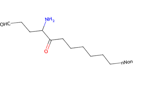 CCCCCCCCCCCCCCCC(=O)C(N)CCC=O